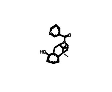 CC1(C)C2Cc3c(O)cccc3[C@]1(C)CCN2C(=O)c1cccnc1